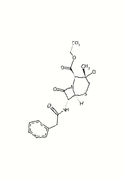 C[C@@]1(Cl)CS[C@H]2[C@H](NC(=O)Cc3ccccc3)C(=O)N2[C@H]1C(=O)OCC(Cl)(Cl)Cl